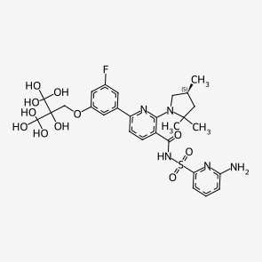 C[C@@H]1CN(c2nc(-c3cc(F)cc(OCC(O)(C(O)(O)O)C(O)(O)O)c3)ccc2C(=O)NS(=O)(=O)c2cccc(N)n2)C(C)(C)C1